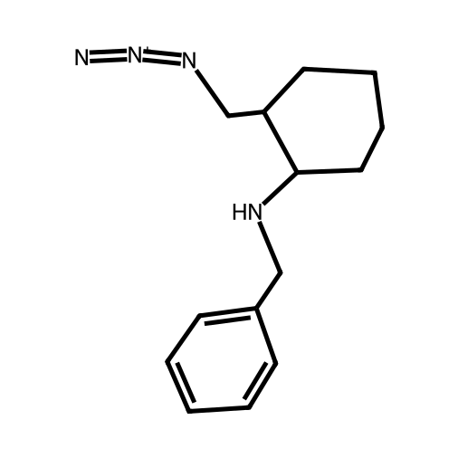 [N-]=[N+]=NCC1CCCCC1NCc1ccccc1